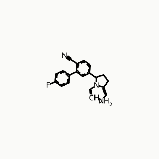 C=CN1/C(=C\N)CCC1c1ccc(C#N)c(-c2ccc(F)cc2)c1